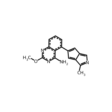 COc1nc(N)c2c(C3=CC4=CN=C(C)C4=C3)cccc2n1